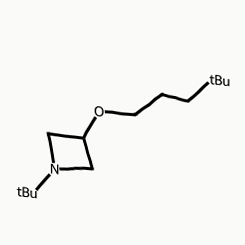 CC(C)(C)CCCOC1CN(C(C)(C)C)C1